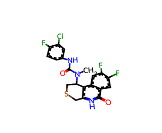 CN(C(=O)Nc1ccc(F)c(Cl)c1)C1CSCc2[nH]c(=O)c3cc(F)c(F)cc3c21